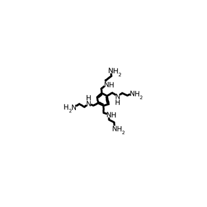 NCCNCc1cc(CNCCN)c(CNCCN)cc1CNCCN